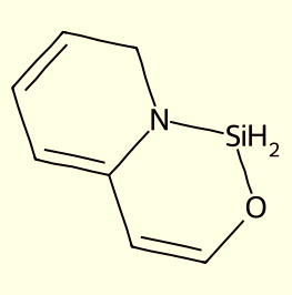 C1=CCN2[SiH2]OC=CC2=C1